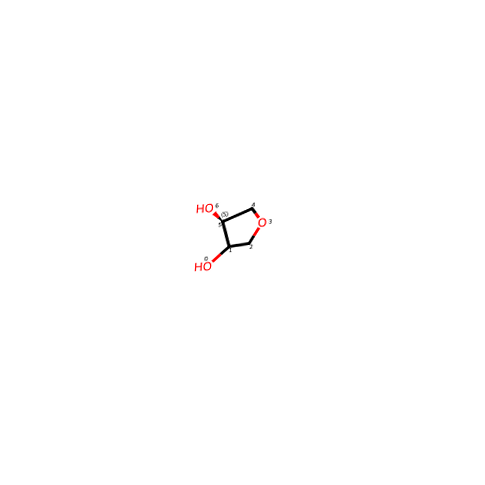 OC1COC[C@@H]1O